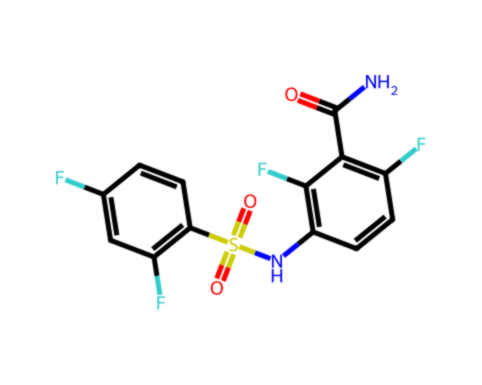 NC(=O)c1c(F)ccc(NS(=O)(=O)c2ccc(F)cc2F)c1F